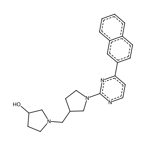 OC1CCN(CC2CCN(c3nccc(-c4ccc5ccccc5c4)n3)C2)C1